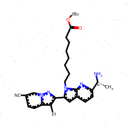 CCc1c(-c2cc3ccc([C@@H](C)N)nc3n2CCCCCCCC(=O)OC(C)(C)C)nn2cc(C#N)ccc12